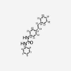 O=C(Nc1ccccc1)Nc1ccc(/C=C/c2ccccc2)cc1